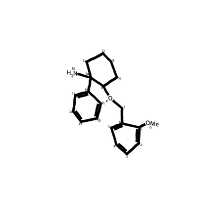 COc1ccccc1COC1CCCCC1(N)c1ccccc1